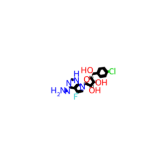 NN=c1nc[nH]c2c1c(F)cn2[C@@H]1O[C@H](C(O)c2ccc(Cl)cc2)[C@@H](O)[C@H]1O